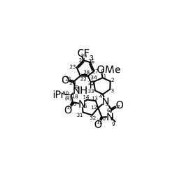 COC1CCC(N2C(=O)N(C)C(=O)C23CCN(C(=O)[C@H](NC(=O)c2cc(C(F)(F)F)ccc2F)C(C)C)CC3)CC1